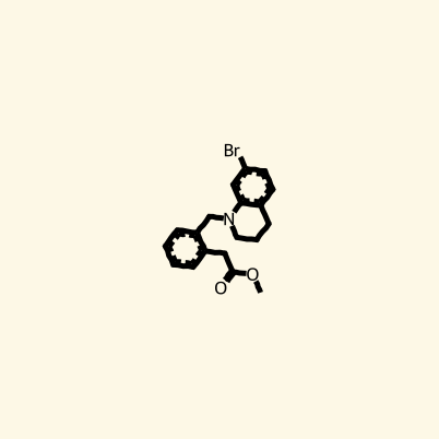 COC(=O)Cc1ccccc1CN1CCCc2ccc(Br)cc21